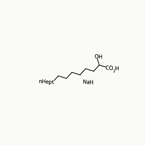 CCCCCCCCCCCCCC(O)C(=O)O.[NaH]